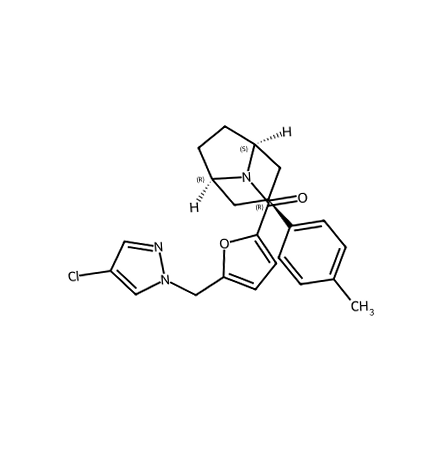 Cc1ccc([C@H]2C[C@H]3CC[C@@H](C2)N3C(=O)c2ccc(Cn3cc(Cl)cn3)o2)cc1